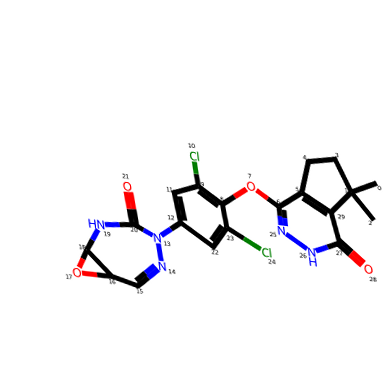 CC1(C)CCc2c(Oc3c(Cl)cc(N4N=CC5OC5NC4=O)cc3Cl)n[nH]c(=O)c21